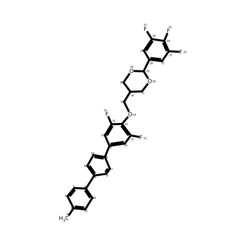 Cc1ccc(-c2ccc(-c3cc(F)c(OCC4COC(c5cc(F)c(F)c(F)c5)OC4)c(F)c3)cc2)cc1